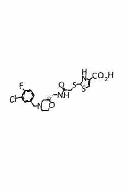 O=C(CSC1NC(C(=O)O)=CS1)NC[C@H]1CN(Cc2ccc(F)c(Cl)c2)CCO1